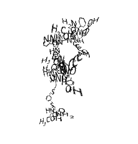 CCC[C@@H]1NC(=O)[C@H](Cc2c[nH]c3ncccc23)NC(=O)[C@@H]([C@@H](C)O)NC(=O)[C@@H](NC(=O)[C@H](Cc2ccc(O)cc2)NC(=O)C(NC(=O)CCSCc2cccc(CSC[C@H](NC(=O)C[C@@H](C)O)C(N)=O)c2)C(C)(C)C)CCCNC(=O)CCC[C@@H](C(=O)N[C@@H](Cc2ccc(O)cc2)C(=O)N[C@H](C(N)=O)C2CCCCC2)NC1=O